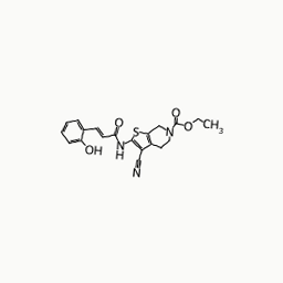 CCOC(=O)N1CCc2c(sc(NC(=O)C=Cc3ccccc3O)c2C#N)C1